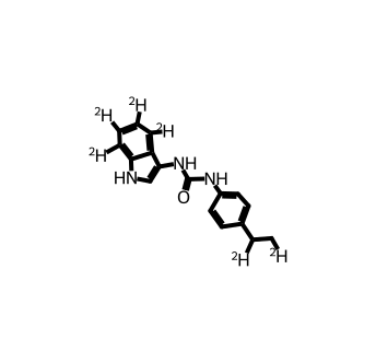 [2H]CC([2H])c1ccc(NC(=O)Nc2c[nH]c3c([2H])c([2H])c([2H])c([2H])c23)cc1